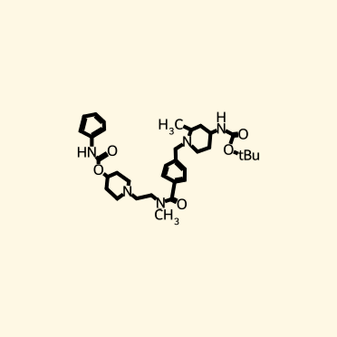 CC1CC(NC(=O)OC(C)(C)C)CCN1Cc1ccc(C(=O)N(C)CCN2CCC(OC(=O)Nc3ccccc3)CC2)cc1